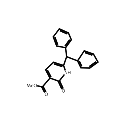 COC(=O)c1ccc(C(c2ccccc2)c2ccccc2)[nH]c1=O